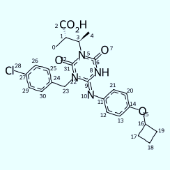 C[C@H](C(=O)O)[C@@H](C)n1c(=O)[nH]/c(=N\c2ccc(OC3CCC3)cc2)n(Cc2ccc(Cl)cc2)c1=O